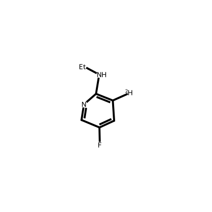 [2H]c1cc(F)cnc1NCC